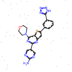 Nc1ncc(-c2nc(N3CCOCC3)c3sc(-c4cccc(-c5nnn[nH]5)c4)cc3n2)cn1